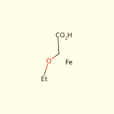 CCOCC(=O)O.[Fe]